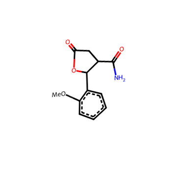 COc1ccccc1C1OC(=O)CC1C(N)=O